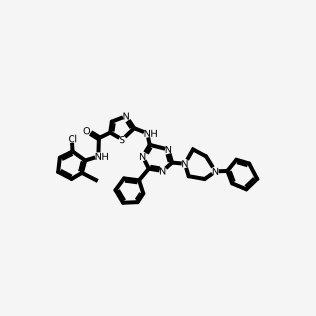 Cc1cccc(Cl)c1NC(=O)c1cnc(Nc2nc(-c3ccccc3)nc(N3CCN(c4ccccc4)CC3)n2)s1